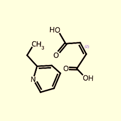 CCc1ccccn1.O=C(O)/C=C\C(=O)O